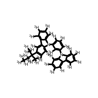 [2H]c1c([2H])c(-n2c3c([2H])c([2H])c([2H])c([2H])c3c3c([2H])c([2H])c([2H])c([2H])c32)c([2H])c(-n2c3c([2H])c([2H])c([2H])c([2H])c3c3c([2H])c(C(C([2H])([2H])[2H])(C([2H])([2H])[2H])C([2H])([2H])C([2H])([2H])[2H])c([2H])c([2H])c32)c1[2H]